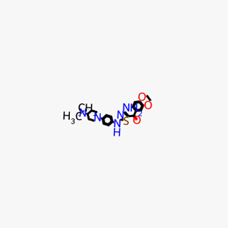 CN(C)C1CCN(c2ccc(Nc3nc(N)c(C(=O)c4ccc5c(c4)OCCO5)s3)cc2)CC1